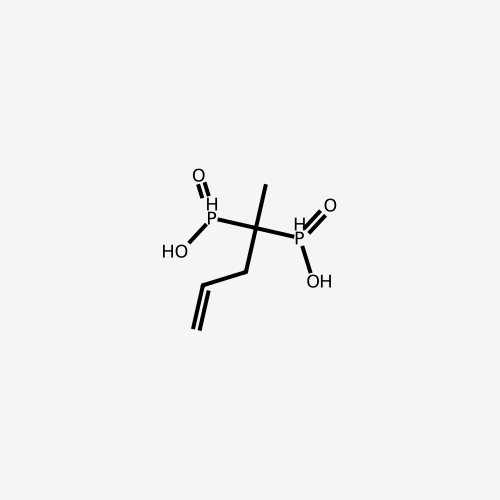 C=CCC(C)([PH](=O)O)[PH](=O)O